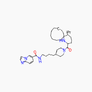 CC(C)C1CCC(C(=O)N2CCC(CCCCNC(=O)c3ccc4nccn4c3)CC2)NC12CCCCCCCCC2